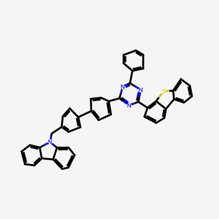 c1ccc(-c2nc(-c3ccc(-c4ccc(Cn5c6ccccc6c6ccccc65)cc4)cc3)nc(-c3cccc4c3sc3ccccc34)n2)cc1